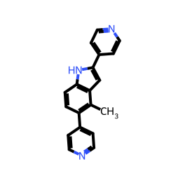 Cc1c(-c2ccncc2)ccc2[nH]c(-c3ccncc3)cc12